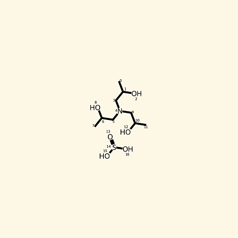 CC(O)CN(CC(C)O)CC(C)O.O=S(O)O